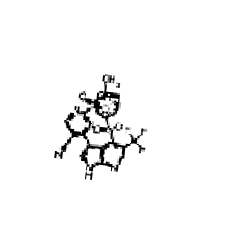 Cc1ccc(S(=O)(=O)c2c(C(F)(F)F)cnc3[nH]cc(-c4nc(S(C)(=O)=O)ncc4C#N)c23)cc1